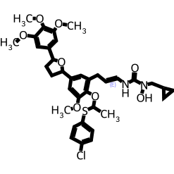 COc1cc(C2CCC(c3cc(OC)c(OC)c(OC)c3)O2)cc(C/C=C/NC(=O)N(O)CC2CC2)c1OC(C)Sc1ccc(Cl)cc1